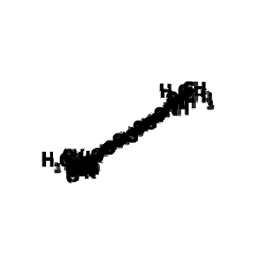 CC(C)(C)CCNC(=O)NCCOCCOCCOCCOCCOCCOCCOCCn1cc(CN2C(=O)CC(C(C)(C)C)C2=O)nn1